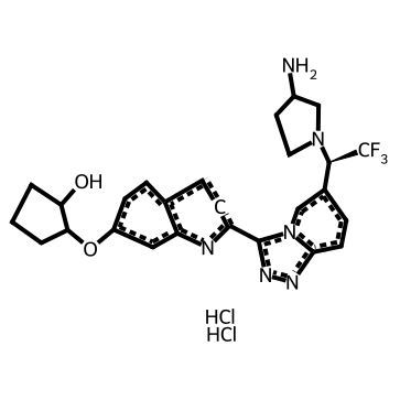 Cl.Cl.NC1CCN([C@H](c2ccc3nnc(-c4ccc5ccc(OC6CCCC6O)cc5n4)n3c2)C(F)(F)F)C1